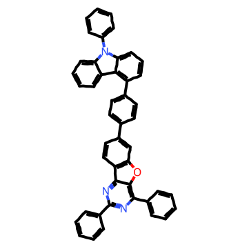 c1ccc(-c2nc(-c3ccccc3)c3oc4cc(-c5ccc(-c6cccc7c6c6ccccc6n7-c6ccccc6)cc5)ccc4c3n2)cc1